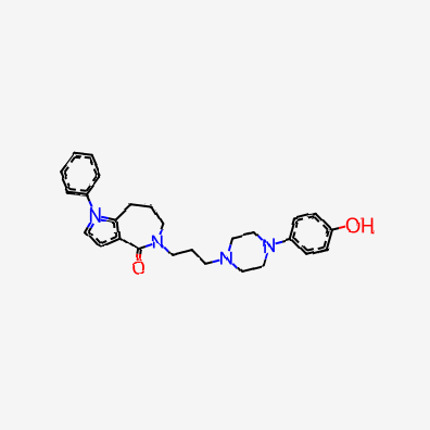 O=C1c2ccn(-c3ccccc3)c2CCCN1CCCN1CCN(c2ccc(O)cc2)CC1